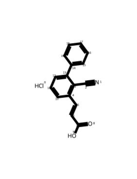 Cl.N#Cc1c(C=CC(=O)O)cccc1-c1ccccc1